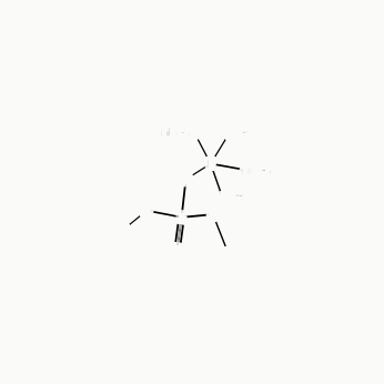 CCCCCP(CCCCC)(CCCCC)(CCCCC)OP(=O)(OCCCC)OCCCC